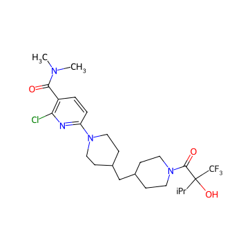 CC(C)C(O)(C(=O)N1CCC(CC2CCN(c3ccc(C(=O)N(C)C)c(Cl)n3)CC2)CC1)C(F)(F)F